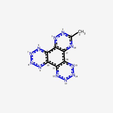 Cc1nnc2c3nnnnc3c3nnnnc3c2n1